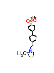 CCCS(=O)(=O)c1ccc(-c2ccc(CCN3CCCC3C)cc2)cc1